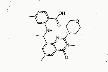 Cc1ccc(C(=O)O)c(NC(C)c2cc(C)cc3c(=O)n(C)c(N4CCOCC4)nc23)c1